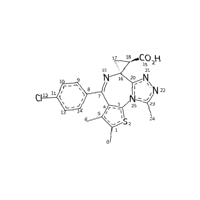 Cc1sc2c(c1C)C(c1ccc(Cl)cc1)=N[C@]1(C[C@H]1C(=O)O)c1nnc(C)n1-2